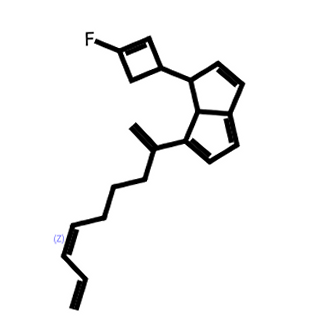 C=C/C=C\CCCC(=C)C1=CC=C2C=CC(C3C=C(F)C3)C21